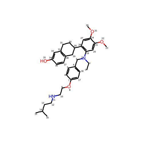 CCN(Cc1ccc(OCCNCCC(C)C)cc1)c1cc(OC)c(OC)cc1C1CCc2cc(O)ccc2C1